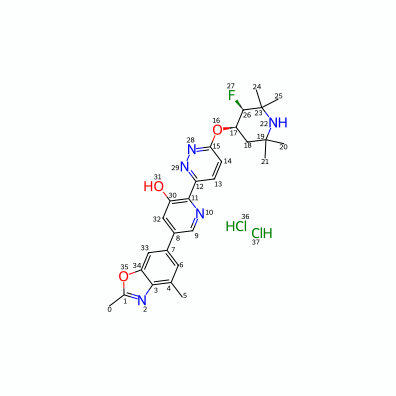 Cc1nc2c(C)cc(-c3cnc(-c4ccc(O[C@@H]5CC(C)(C)NC(C)(C)[C@@H]5F)nn4)c(O)c3)cc2o1.Cl.Cl